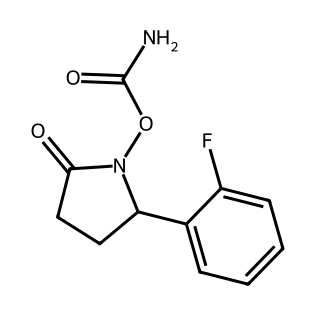 NC(=O)ON1C(=O)CCC1c1ccccc1F